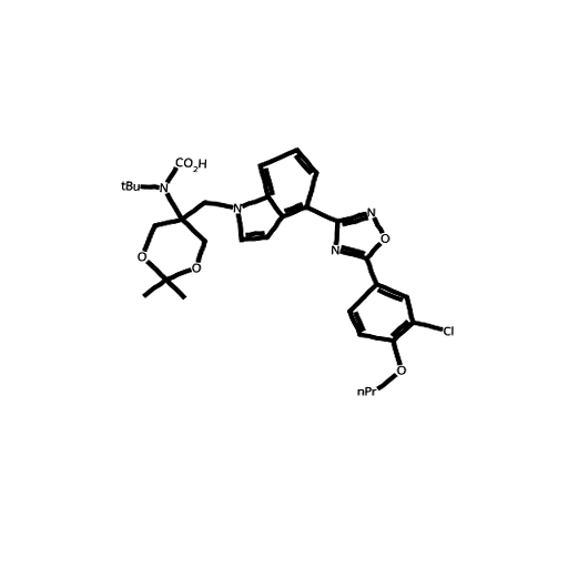 CCCOc1ccc(-c2nc(-c3cccc4c3ccn4CC3(N(C(=O)O)C(C)(C)C)COC(C)(C)OC3)no2)cc1Cl